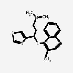 Cc1ccc2ccccc2c1OC(CCN(C)C)c1cscn1